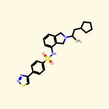 CC(CC1CCCC1)N1Cc2cccc(NS(=O)(=O)c3ccc(-c4csnn4)cc3)c2C1